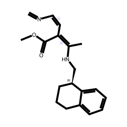 C=N/C=C\C(C(=O)OC)=C(/C)NC[C@@H]1CCCc2ccccc21